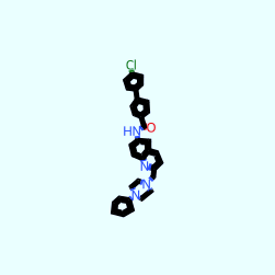 O=C(Nc1ccc2nc(CN3CCN(c4ccccc4)CC3)ccc2c1)c1ccc(-c2ccc(Cl)cc2)cc1